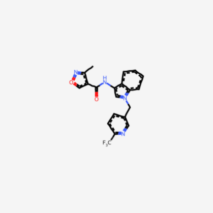 Cc1nocc1C(=O)Nc1cn(Cc2ccc(C(F)(F)F)nc2)c2ccccc12